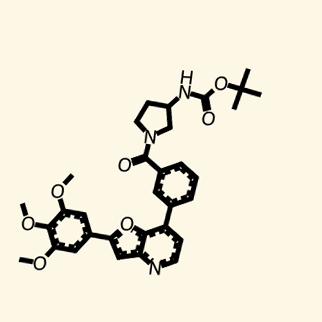 COc1cc(-c2cc3nccc(-c4cccc(C(=O)N5CCC(NC(=O)OC(C)(C)C)C5)c4)c3o2)cc(OC)c1OC